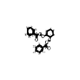 O=C(OO[C]1CCC[CH]C1OOC(=O)c1ccccc1)c1ccccc1